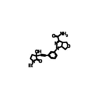 CCN1CCC(O)(C#Cc2cccc(N3N=C(C(N)=O)C4COCC43)c2)C1=O